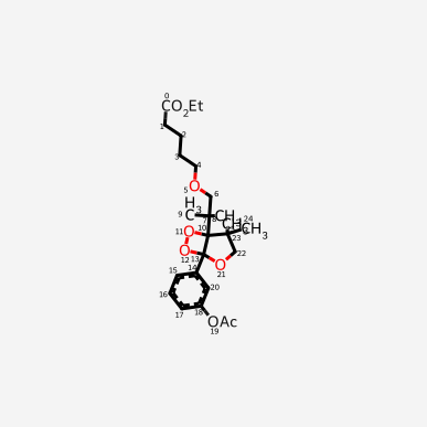 CCOC(=O)CCCCOCC(C)(C)C12OOC1(c1cccc(OC(C)=O)c1)OCC2(C)C